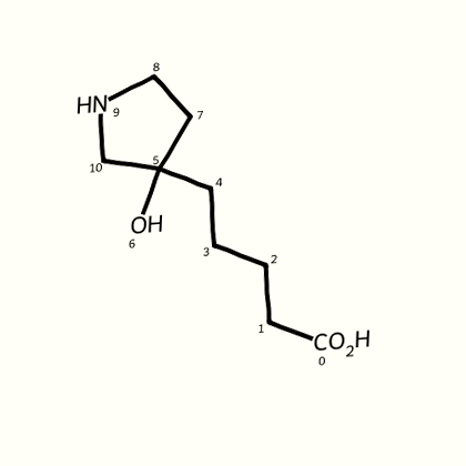 O=C(O)CCCCC1(O)CCNC1